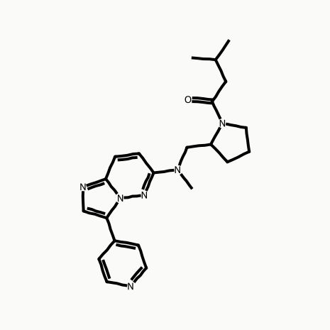 CC(C)CC(=O)N1CCCC1CN(C)c1ccc2ncc(-c3ccncc3)n2n1